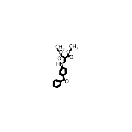 CCOC(=O)C(=CNc1ccc(C(=O)c2ccccc2)cc1)C(=O)OCC